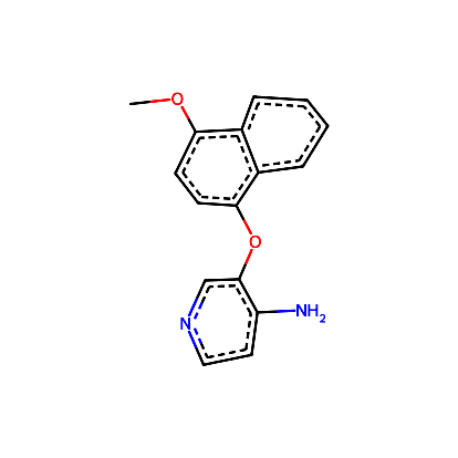 COc1ccc(Oc2cnccc2N)c2ccccc12